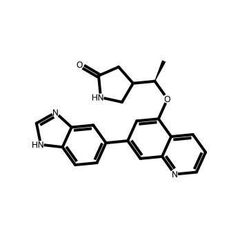 C[C@@H](Oc1cc(-c2ccc3[nH]cnc3c2)cc2ncccc12)C1CNC(=O)C1